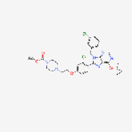 CC(C)(C)OC(=O)N1CCN(CCOc2ccc(-c3nc4c(OC5(C)CC5)ncnc4n3Cc3cccc(Cl)c3)c(Cl)c2)CC1